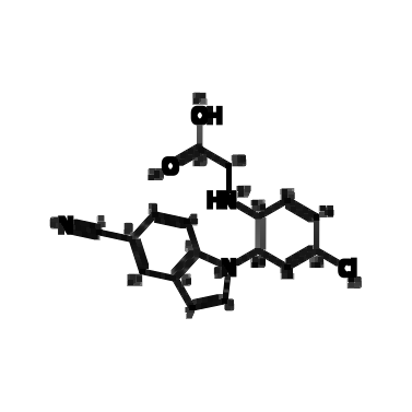 N#Cc1ccc2c(ccn2-c2cc(Cl)ccc2NCC(=O)O)c1